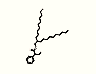 CCCCCCCCCCC(CCCCCCCCCC)COC(=O)C(CC)c1ccccc1